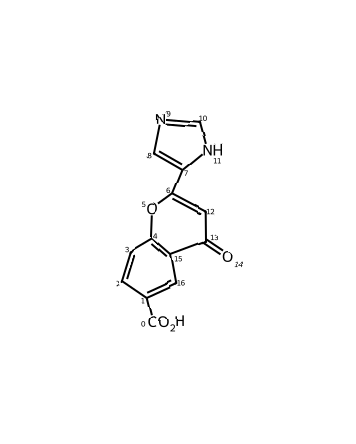 O=C(O)c1ccc2oc(-c3cnc[nH]3)cc(=O)c2c1